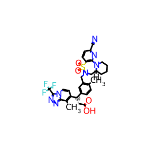 Cc1ccc([C@H](CC(=O)O)c2ccn3c(C(F)(F)F)nnc3c2C)cc1CN1C[C@H]2CCCCN2c2nc(C#N)ccc2S1(=O)=O